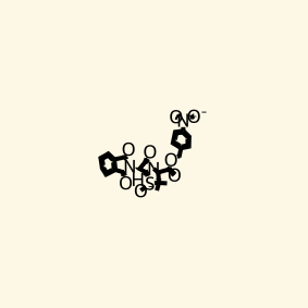 CC1(C)C(C(=O)OCc2ccc([N+](=O)[O-])cc2)N2C(=O)[C@@H](N3C(=O)c4ccccc4C3=O)[C@H]2[S+]1[O-]